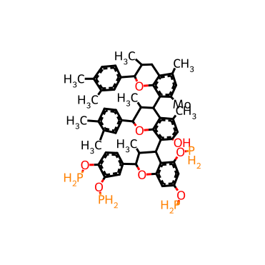 Cc1ccc(C2Oc3c(c(C)c[c]([Mo])c3C3c4c(C)cc(O)c(C5c6c(OP)cc(OP)cc6OC(c6ccc(OP)c(OP)c6)C5C)c4OC(c4ccc(C)c(C)c4)C3C)CC2C)cc1C